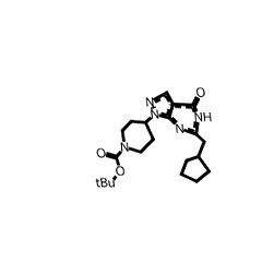 CC(C)(C)OC(=O)N1CCC(n2ncc3c(=O)[nH]c(CC4CCCC4)nc32)CC1